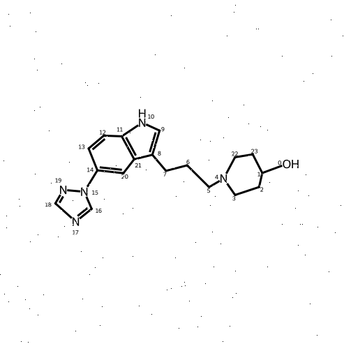 OC1CCN(CCCc2c[nH]c3ccc(-n4cncn4)cc23)CC1